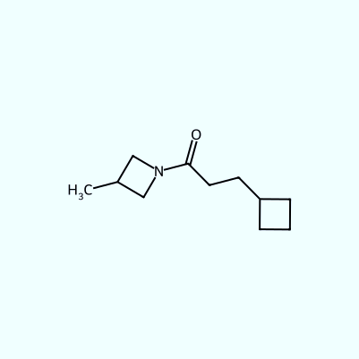 CC1CN(C(=O)CCC2CCC2)C1